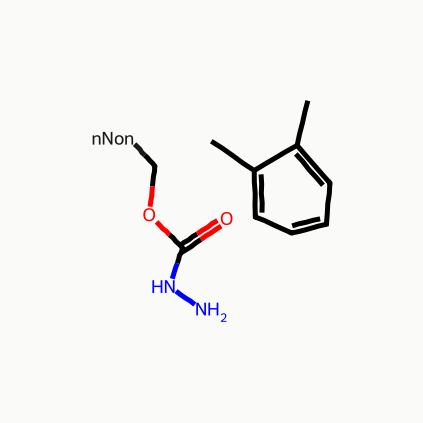 CCCCCCCCCCOC(=O)NN.Cc1ccccc1C